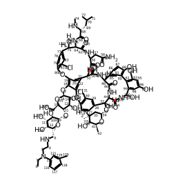 CCN(CCNC[C@H]1O[C@@H](O[C@H]2[C@H](O)[C@@H](O)[C@H](Oc3c4cc5cc3Oc3ccc(cc3Cl)[C@@H](O[C@H]3C[C@](C)(N)[C@@H](O)[C@H](C)O3)[C@@H]3NC(=O)[C@H](NC(=O)[C@@H]5NC(=O)C(CC(N)=O)NC(=O)C(NC(=O)[C@@H](CC(C)C)NC)[C@H](O)c5ccc(c(Cl)c5)O4)c4ccc(O)c(c4)-c4c(O)cc(O)cc4[C@@H](O)NC3=O)O[C@@H]2CO)[C@H](O)[C@@H](O)[C@H]1O)c1cccc(C)c1